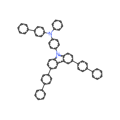 c1ccc(-c2ccc(-c3ccc4c(c3)c3cc(-c5ccc(-c6ccccc6)cc5)ccc3n4-c3ccc(N(c4ccccc4)c4ccc(-c5ccccc5)cc4)cc3)cc2)cc1